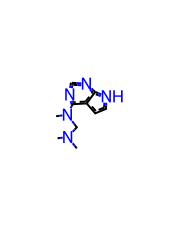 CN(C)CN(C)c1ncnc2[nH]ccc12